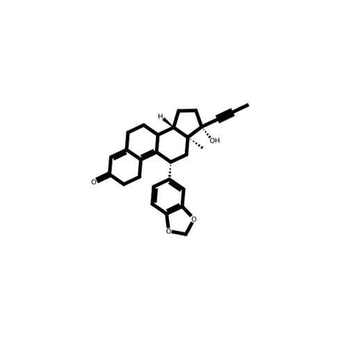 CC#C[C@]1(O)CC[C@H]2C3CCC4=CC(=O)CCC4=C3[C@@H](c3ccc4c(c3)OCO4)C[C@@]21C